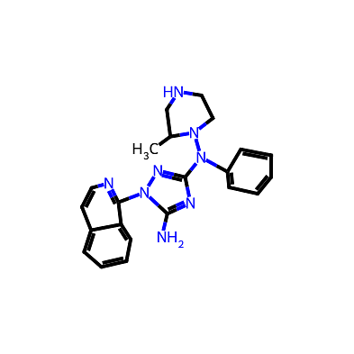 CC1CNCCN1N(c1ccccc1)c1nc(N)n(-c2nccc3ccccc23)n1